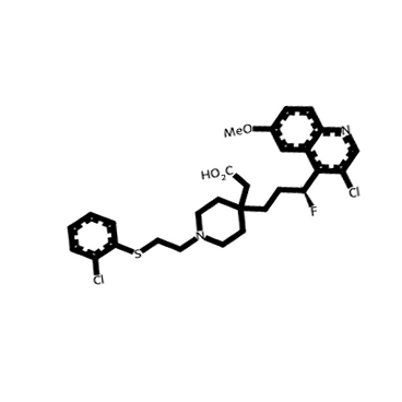 COc1ccc2ncc(Cl)c([C@@H](F)CCC3(CC(=O)O)CCN(CCSc4ccccc4Cl)CC3)c2c1